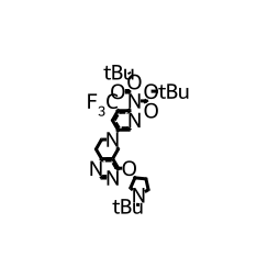 CC(C)(C)OC(=O)N(C(=O)OC(C)(C)C)c1ncc(N2CCc3ncnc(O[C@H]4CCN(C(C)(C)C)C4)c3C2)cc1C(F)(F)F